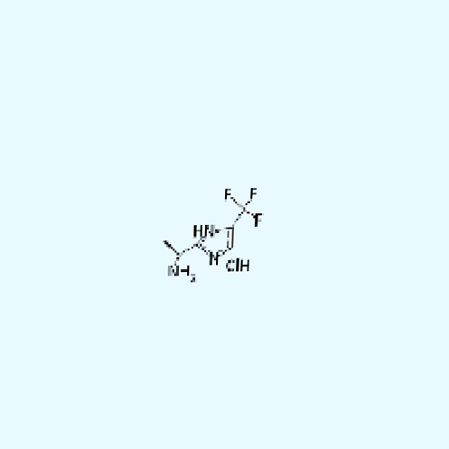 C[C@H](N)c1ncc(C(F)(F)F)[nH]1.Cl